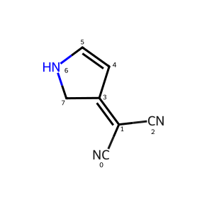 N#CC(C#N)=C1C=CNC1